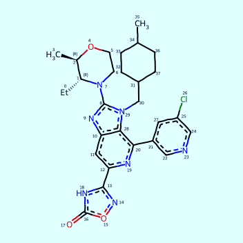 CC[C@@H]1[C@@H](C)OCCN1c1nc2cc(-c3noc(=O)[nH]3)nc(-c3cncc(Cl)c3)c2n1CC1CCC(C)CC1